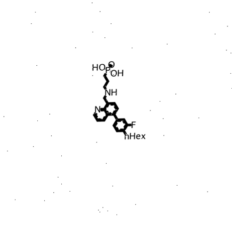 CCCCCCc1ccc(-c2ccc(CNCCCP(=O)(O)O)c3ncccc23)cc1F